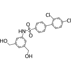 O=S(=O)(Nc1cc(CO)cc(CO)c1)c1ccc(-c2ccc(Cl)cc2Cl)cc1